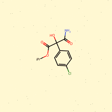 CC(C)OC(=O)C(O)(C(N)=O)c1ccc(Cl)cc1